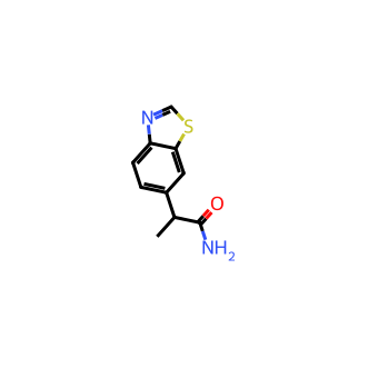 CC(C(N)=O)c1ccc2ncsc2c1